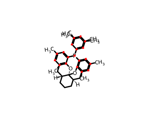 CC1=CC(P(c2cc(C)cc(C)c2)c2cccc3c2O[C@]24Oc5c(cccc5P(c5cc(C)cc(C)c5)c5cc(C)cc(C)c5)C[C@H]2CCC[C@@H]4C3)CC(C)=C1